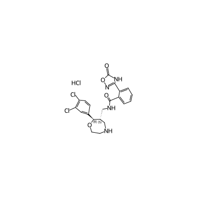 Cl.O=C(NC[C@@H]1CNCCO[C@H]1c1ccc(Cl)c(Cl)c1)c1ccccc1-c1noc(=O)[nH]1